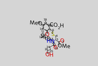 COC(=O)C(CSCc1c(O[Si](C)(C)C(C)(C)C)cc(OC)c(C)c1C(=O)O)NC(=O)CCCO